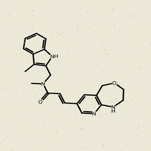 Cc1c(CN(C)C(=O)C=Cc2cnc3c(c2)COCCN3)[nH]c2ccccc12